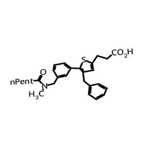 CCCCCC(=O)N(C)Cc1cccc(-c2sc(CCC(=O)O)cc2Cc2ccccc2)c1